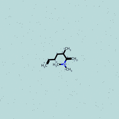 C=CCCC(C)C(=C)N(C)C